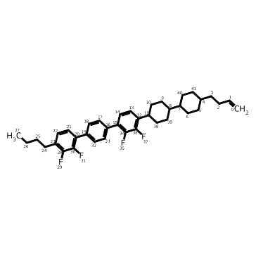 C=CCCC1CCC(C2CCC(c3ccc(-c4ccc(-c5ccc(CCCC)c(F)c5F)cc4)c(F)c3F)CC2)CC1